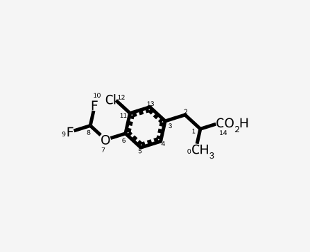 CC(Cc1ccc(OC(F)F)c(Cl)c1)C(=O)O